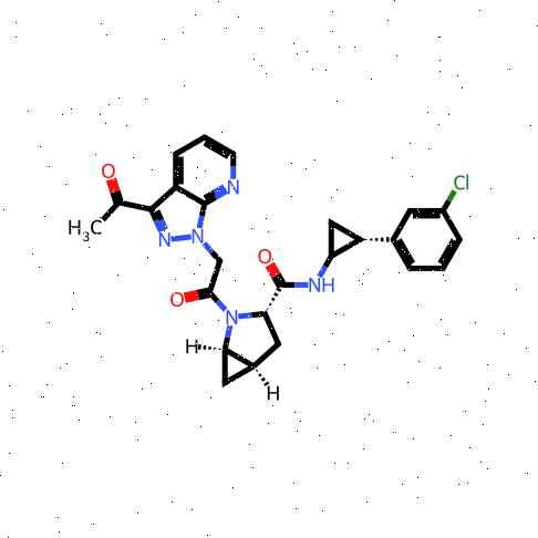 CC(=O)c1nn(CC(=O)N2[C@@H]3C[C@@H]3C[C@H]2C(=O)NC2C[C@@H]2c2cccc(Cl)c2)c2ncccc12